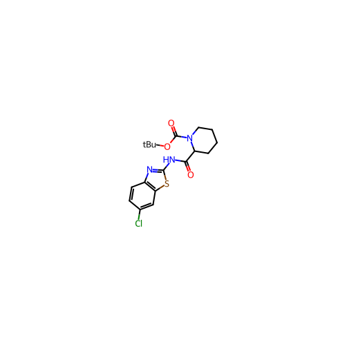 CC(C)(C)OC(=O)N1CCCCC1C(=O)Nc1nc2ccc(Cl)cc2s1